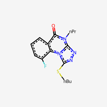 CCCCSc1nnc2n(CCC)c(=O)c3cccc(F)c3n12